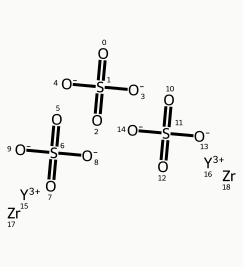 O=S(=O)([O-])[O-].O=S(=O)([O-])[O-].O=S(=O)([O-])[O-].[Y+3].[Y+3].[Zr].[Zr]